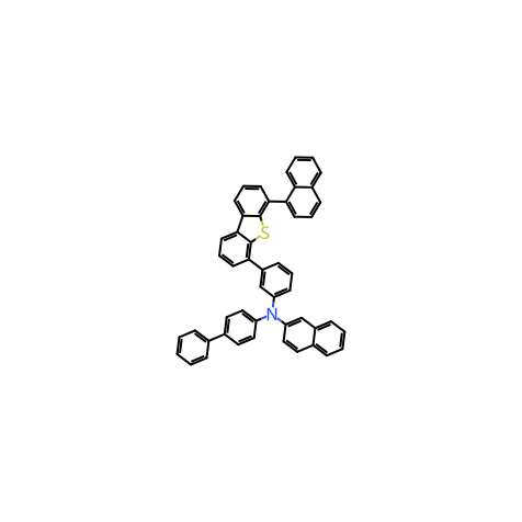 c1ccc(-c2ccc(N(c3cccc(-c4cccc5c4sc4c(-c6cccc7ccccc67)cccc45)c3)c3ccc4ccccc4c3)cc2)cc1